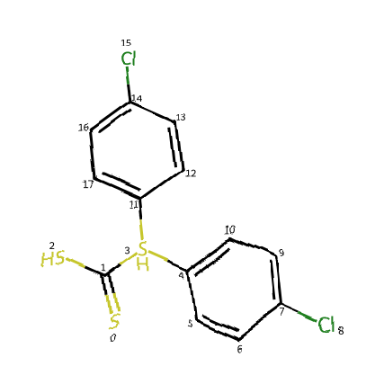 S=C(S)[SH](c1ccc(Cl)cc1)c1ccc(Cl)cc1